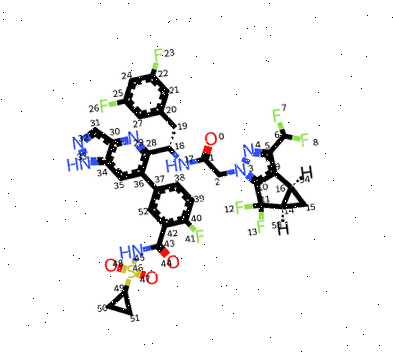 O=C(Cn1nc(C(F)F)c2c1C(F)(F)[C@@H]1C[C@H]21)N[C@@H](Cc1cc(F)cc(F)c1)c1nc2cn[nH]c2cc1-c1ccc(F)c(C(=O)NS(=O)(=O)C2CC2)c1